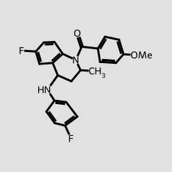 COc1ccc(C(=O)N2c3ccc(F)cc3C(Nc3ccc(F)cc3)CC2C)cc1